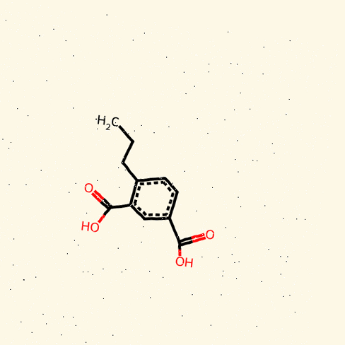 [CH2]CCc1ccc(C(=O)O)cc1C(=O)O